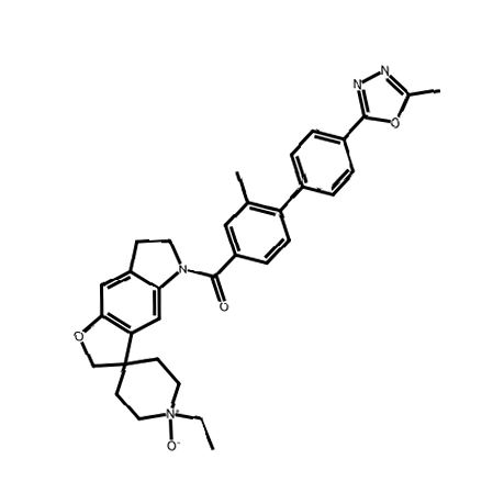 CC[N+]1([O-])CCC2(CC1)COc1cc3c(cc12)N(C(=O)c1ccc(-c2ccc(-c4nnc(C)o4)cc2)c(C)c1)CC3